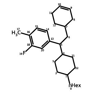 CCCCCCC1CCC(C(CC2CC=CCC2)c2ccc(C)c(F)c2)CC1